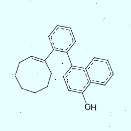 Oc1ccc(-c2ccccc2/C2=C/CCCCCC2)c2ccccc12